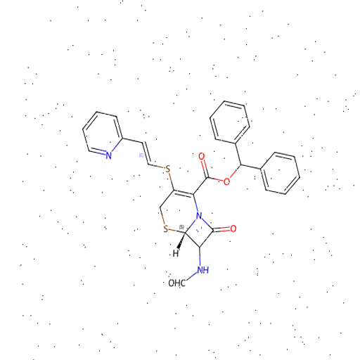 O=CNC1C(=O)N2C(C(=O)OC(c3ccccc3)c3ccccc3)=C(S/C=C/c3ccccn3)CS[C@@H]12